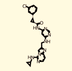 O=C(Nc1cc(NCc2cn3c(NC4CC4)nccc3n2)ncn1)[C@H]1C[C@@H]1c1cccc(Cl)c1